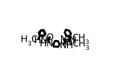 CCc1ccccc1NC(=O)N[C@H]1CC[C@@H](Nc2nc3c(c(N(C)C)n2)CCCC3)CC1